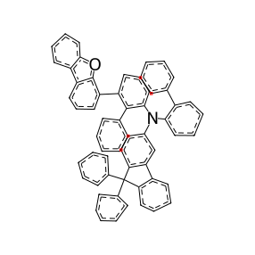 c1ccc(-c2ccccc2N(c2ccc3c(c2)-c2ccccc2C3(c2ccccc2)c2ccccc2)c2cccc(-c3cccc4c3oc3ccccc34)c2-c2ccccc2)cc1